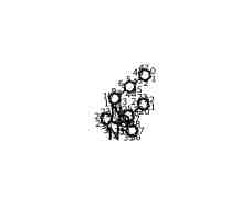 c1ccc(-c2ccc(-c3cccc(N(c4cccc(-c5ccccc5)c4)c4cccc5cnc6c7ccccc7oc6c45)c3)cc2)cc1